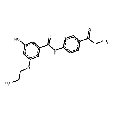 CCCOc1cc(O)cc(C(=O)Nc2ccc(C(=O)OC)cn2)c1